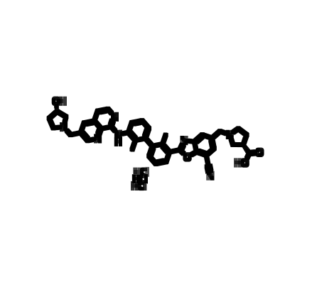 Cc1c(Nc2nccc3cc(CN4CC[C@@H](O)C4)cnc23)cccc1-c1cccc(-c2nc3cc(CN4CC[C@@H](C(=O)O)C4)cc(C#N)c3o2)c1C.Cl.Cl.Cl